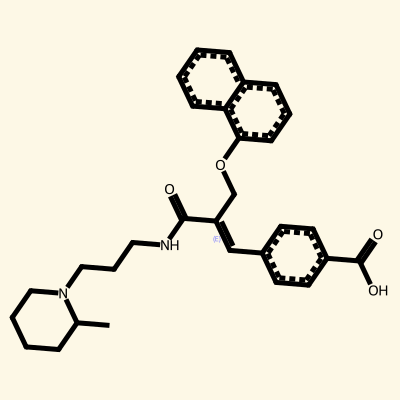 CC1CCCCN1CCCNC(=O)/C(=C/c1ccc(C(=O)O)cc1)COc1cccc2ccccc12